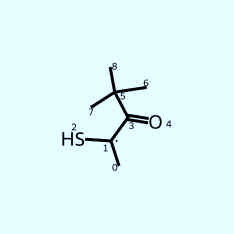 C[C](S)C(=O)C(C)(C)C